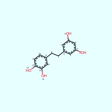 Oc1cc(O)cc(CCc2ccc(O)c(O)c2)c1